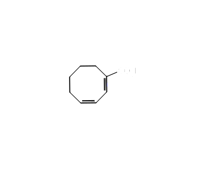 O=C(O)/C1=C/C=C\CCCC1